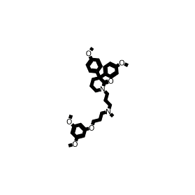 COc1ccc(C2(c3ccc(OC)cc3)CCCN(CCCN(C)CCCOc3cc(OC)cc(OC)c3)C2=O)cc1